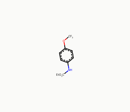 CCOC(=O)Nc1ccc(OC(F)(F)F)cc1